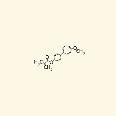 C=C(C)C(=O)Oc1ccc(C2=CCC=C(OC)C=C2)cc1